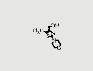 Cc1sc(N2CCOCC2)nc1CO